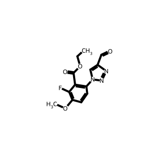 CCOC(=O)c1c(-n2cc(C=O)nn2)ccc(OC)c1F